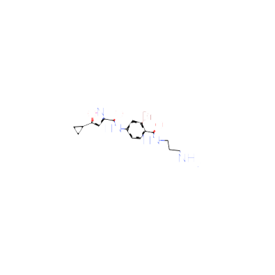 NCCCNC(=O)c1ccc(NC(=O)c2cc(C3CC3)on2)cc1Br